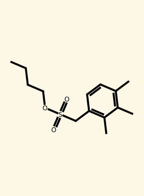 CCCCOS(=O)(=O)Cc1ccc(C)c(C)c1C